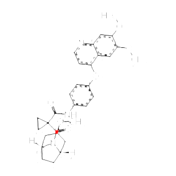 COc1cc2nccc(Oc3ccc(NC(=O)C4(C(=O)N5[C@@H]6CC[C@H]5CC(OC)C6)CC4)cc3)c2cc1OC